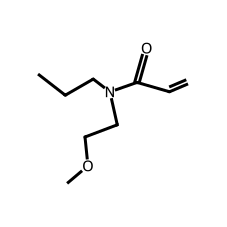 C=CC(=O)N(CCC)CCOC